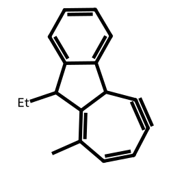 CCC1C2=C(C)C=CC#CC2c2ccccc21